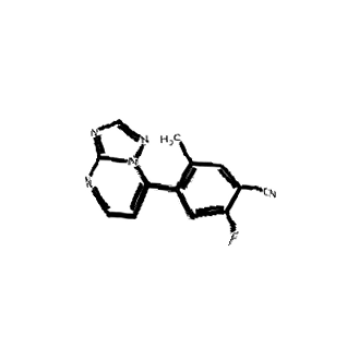 Cc1cc(C#N)c(F)cc1-c1ccnc2ncnn12